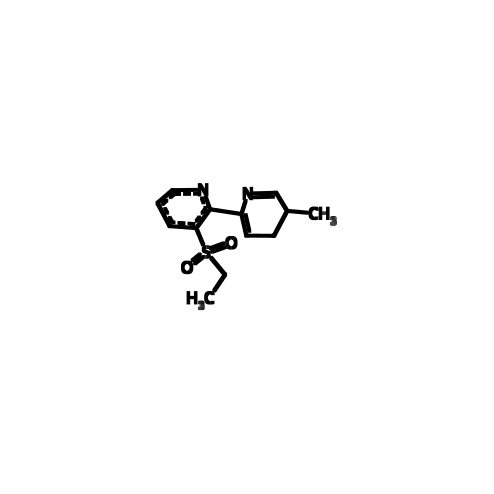 CCS(=O)(=O)c1cccnc1C1=CCC(C)C=N1